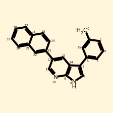 [CH2]c1cccc(-c2c[nH]c3ncc(-c4ccc5ccccc5c4)cc23)c1